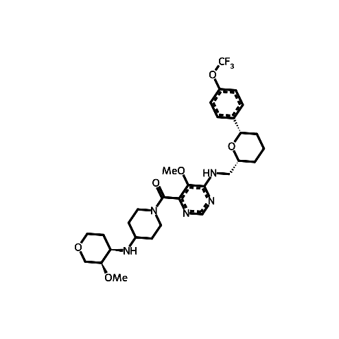 COc1c(NC[C@H]2CCC[C@@H](c3ccc(OC(F)(F)F)cc3)O2)ncnc1C(=O)N1CCC(N[C@@H]2CCOC[C@@H]2OC)CC1